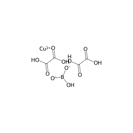 O=C(O)C(=O)O.O=C(O)C(=O)O.[Cu+2].[O-]B([O-])O